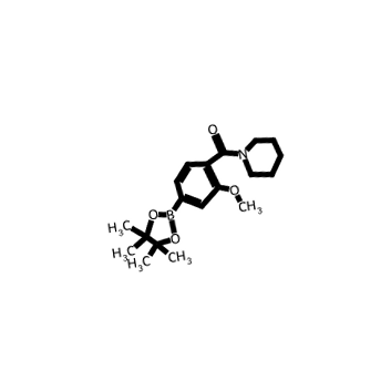 COc1cc(B2OC(C)(C)C(C)(C)O2)ccc1C(=O)N1CCCCC1